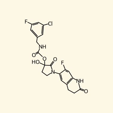 O=C1CCc2cc(N3CCC(O)(OC(=O)NCc4cc(F)cc(Cl)c4)C3=O)c(F)cc2N1